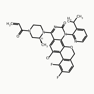 C=CC(=O)N1CCN(c2nc(=O)n(-c3ncccc3C(C)C)c3c4c(c(Cl)cc23)-c2c(ccc(F)c2F)CO4)[C@@H](C)C1